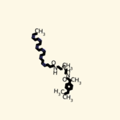 CC/C=C\C/C=C\C/C=C\C/C=C\C/C=C\C/C=C\CCC(=O)NCCN(C)CCNC(=O)C(C)c1ccc(CC(C)C)cc1